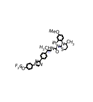 COc1ccc(N2/C(=N/C(=O)N/C=C(\C)c3ccc(-c4ncn(-c5ccc(OC(F)(F)F)cc5)n4)cc3)SCCC2C)c(C(C)C)c1